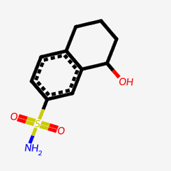 NS(=O)(=O)c1ccc2c(c1)C(O)CCC2